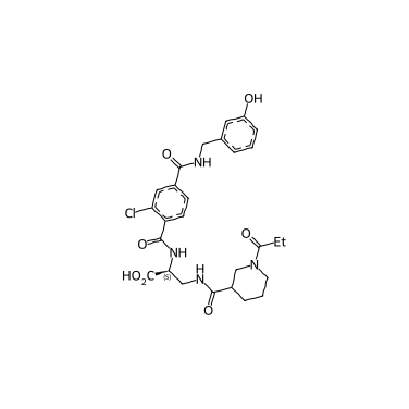 CCC(=O)N1CCCC(C(=O)NC[C@H](NC(=O)c2ccc(C(=O)NCc3cccc(O)c3)cc2Cl)C(=O)O)C1